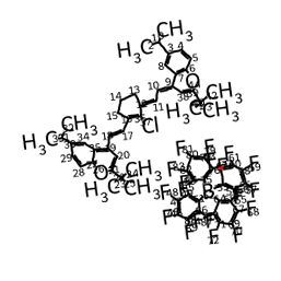 CC(C)c1ccc2c(c1)/C(=C/C=C1\CCCC(/C=C/c3cc(C(C)(C)C)[o+]c4ccc(C(C)C)cc34)=C1Cl)C=C(C(C)(C)C)O2.Fc1c(F)c(F)c([B-](c2c(F)c(F)c(F)c(F)c2F)(c2c(F)c(F)c(F)c(F)c2F)c2c(F)c(F)c(F)c(F)c2F)c(F)c1F